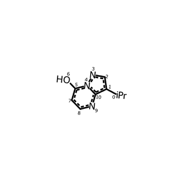 CC(C)c1cnn2c(O)ccnc12